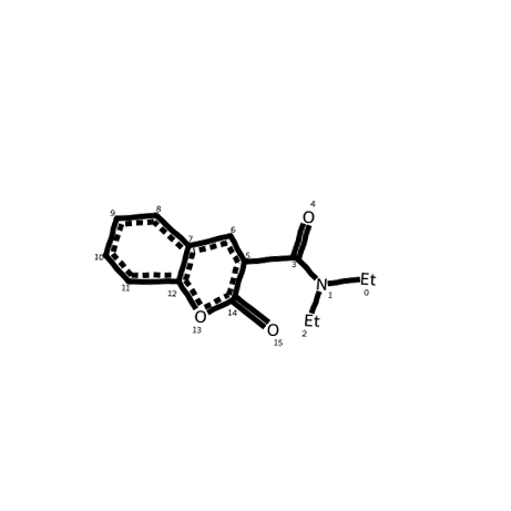 CCN(CC)C(=O)c1cc2ccccc2oc1=O